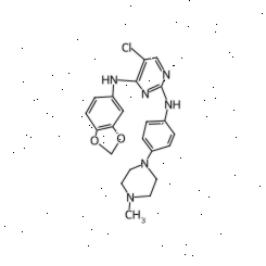 CN1CCN(c2ccc(Nc3ncc(Cl)c(Nc4ccc5c(c4)OCO5)n3)cc2)CC1